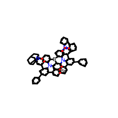 CC(C)(C)c1cc2c3c(c1)N(c1c(-c4ccccc4)cc(-c4ccccc4)cc1-c1ccccc1)c1cc(-n4c5ccccc5c5ccccc54)ccc1B3c1ccc(N3C4CC5CC(C4)CC3C5)cc1N2c1c(-c2ccccc2)cc(-c2ccccc2)cc1-c1ccccc1